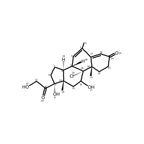 CC1=C[C@H]2[C@@H]3CC[C@](O)(C(=O)CO)[C@@]3(C)CC(O)[C@]2(Cl)[C@@]2(C)CCC(=O)C=C12